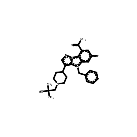 CC(C)(O)CN1CCC(c2cnn3c4c(C(N)=O)cc(F)cc4n(Cc4ccccc4)c23)CC1